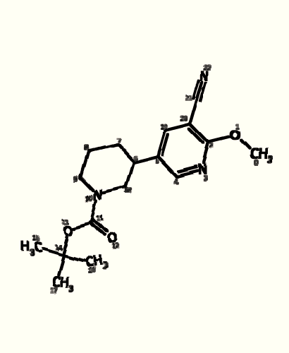 COc1ncc(C2CCCN(C(=O)OC(C)(C)C)C2)cc1C#N